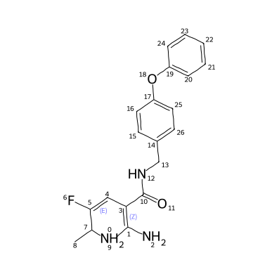 C/C(N)=C(\C=C(\F)C(C)N)C(=O)NCc1ccc(Oc2ccccc2)cc1